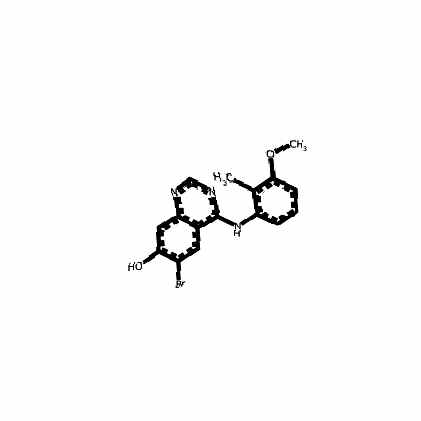 COc1cccc(Nc2ncnc3cc(O)c(Br)cc23)c1C